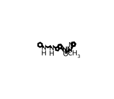 C[C@H](NCc1ccccn1)C(=O)NCc1cccc2c1CCC2CNCCCNC1CCCCC1